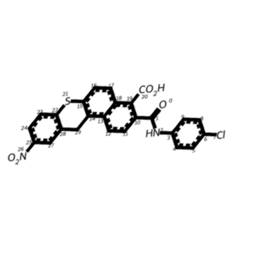 O=C(Nc1ccc(Cl)cc1)c1ccc2c3c(ccc2c1C(=O)O)Sc1ccc([N+](=O)[O-])cc1C3